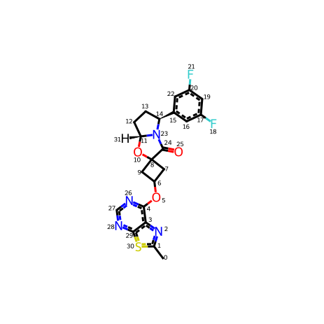 Cc1nc2c(OC3CC4(C3)O[C@@H]3CC[C@@H](c5cc(F)cc(F)c5)N3C4=O)ncnc2s1